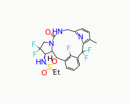 CCS(=O)(=O)N[C@@H]1[C@@H]2Cc3cccc(c3F)C(F)(F)c3nc(ccc3C)CNC(=O)N2CC1(F)F